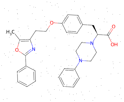 Cc1oc(-c2ccccc2)nc1CCOc1ccc(C[C@@H](C(=O)O)N2CCN(c3ccccc3)CC2)cc1